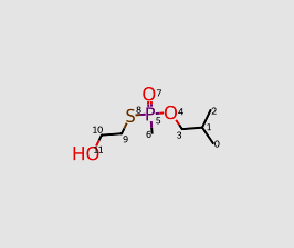 CC(C)COP(C)(=O)SCCO